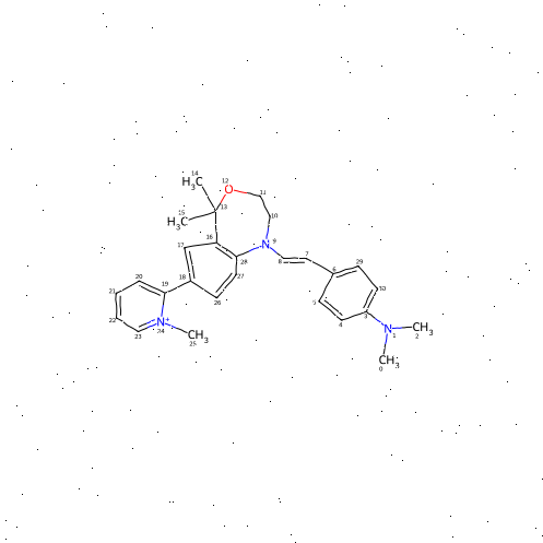 CN(C)c1ccc(/C=C/N2CCOC(C)(C)c3cc(-c4cccc[n+]4C)ccc32)cc1